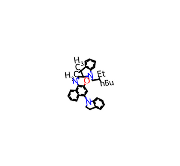 CCCCC(CC)CN1c2ccccc2C(C)(C)C12C=Nc1c(cc(N3CCc4ccccc43)c3ccccc13)O2